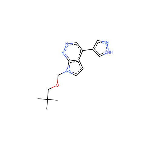 CC(C)(C)COCn1ccc2c(-c3cn[nH]c3)cnnc21